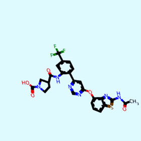 CC(=O)Nc1nc2c(Oc3cc(-c4ccc(C(F)(F)F)cc4NC(=O)C4CCN(C(=O)O)C4)ncn3)cccc2s1